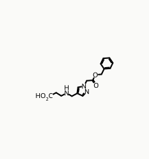 O=C(O)CCNCc1cnn(CC(=O)OCc2ccccc2)c1